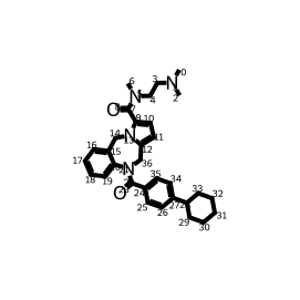 CN(C)CCN(C)C(=O)c1ccc2n1Cc1ccccc1N(C(=O)c1ccc(C3CCCCC3)cc1)C2